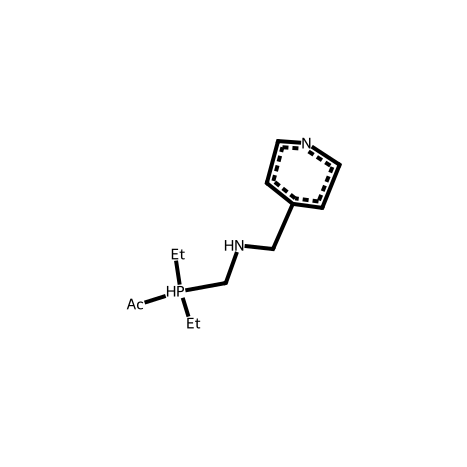 CC[PH](CC)(CNCc1ccncc1)C(C)=O